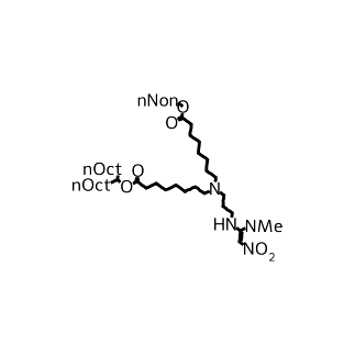 CCCCCCCCCOC(=O)CCCCCCCN(CCCCCCCC(=O)OC(CCCCCCCC)CCCCCCCC)CCCN/C(=C/[N+](=O)[O-])NC